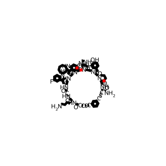 NCCCC[C@@H]1NC(=O)CCSCc2cccc(c2)CSC[C@@H](C(N)=O)NC(=O)[C@@H]2CCCCN2C(=O)[C@H](Cc2ccc(O)cc2)NC(=O)[C@H](Cc2cnc[nH]2)NC(=O)[C@H](CC(=O)O)NC(=O)[C@H](CC2c3cc(F)ccc3NC23CCCCCCC3)NC(=O)[C@H](Cc2c[nH]c3ccc(F)cc23)NC(=O)CNC1=O